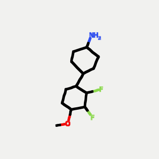 COC1CCC(C2CCC(N)CC2)C(F)C1F